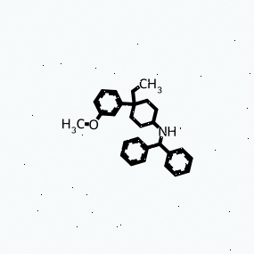 CCC1(c2cccc(OC)c2)CCC(NC(c2ccccc2)c2ccccc2)CC1